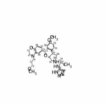 COCCCN1CCOc2ccc(CO[C@H]3CN[C@@H](CC(C)Nc4nnn[nH]4)C[C@@H]3c3ccc(OC)cc3)cc21